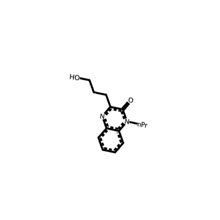 CCCn1c(=O)c(CCCO)nc2ccccc21